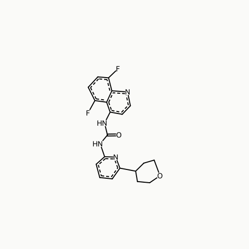 O=C(Nc1cccc(C2CCOCC2)n1)Nc1ccnc2c(F)ccc(F)c12